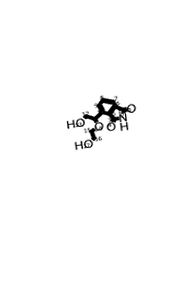 O=C1NC(=O)c2c1cccc2C(CO)OCCO